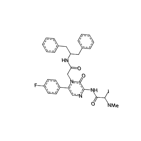 CNC(I)C(=O)Nc1ncc(-c2ccc(F)cc2)n(CC(=O)NC(Cc2ccccc2)Cc2ccccc2)c1=O